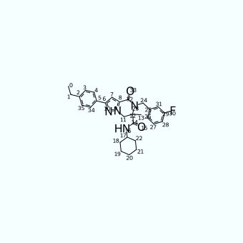 CCc1ccc(-c2cc3n(n2)CC(C)(C(=O)NC2CCCCC2)N(Cc2cccc(F)c2)C3=O)cc1